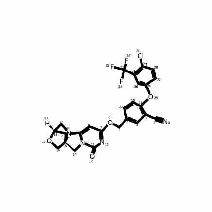 N#Cc1cc(COc2cc3n(c(=O)n2)C[C@]24CO[C@H](CN32)C4)ccc1Oc1ccc(Cl)c(C(F)(F)F)c1